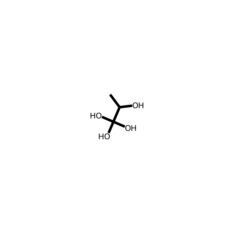 CC(O)C(O)(O)O